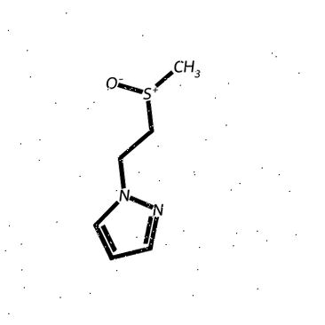 C[S+]([O-])CCn1cccn1